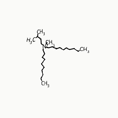 CCCCCCCCCC[N+](C)(CCCCCCCCCC)CCC(C)C